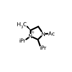 CC(=O)N1C[C@H](C)N(C(C)C)C1C(C)C